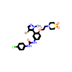 Cn1ncc(Br)c1-c1cc(NC(=O)Nc2ccc(Cl)cc2)ccc1OCCN1CCS(=O)(=O)CC1